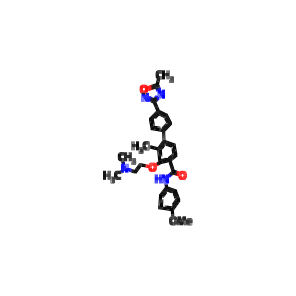 COc1ccc(NC(=O)c2ccc(-c3ccc(-c4noc(C)n4)cc3)c(C)c2OCCN(C)C)cc1